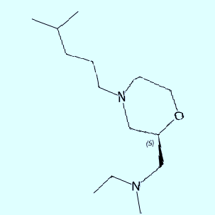 CCN(C)C[C@H]1CN(CCCC(C)C)CCO1